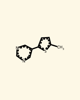 Cc1ccc(-c2cncnc2)s1